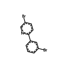 Brc1ccc(-c2cccc(Br)c2)nc1